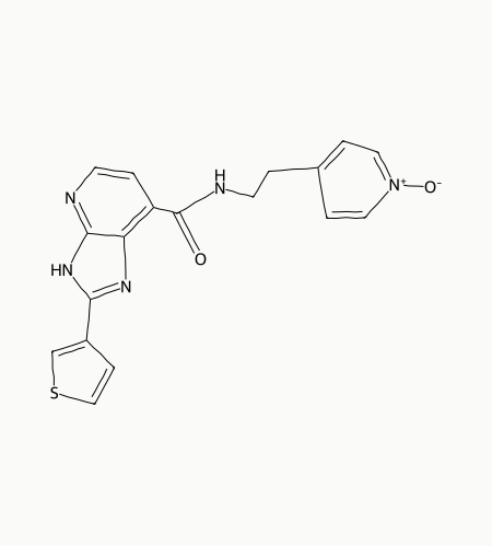 O=C(NCCc1cc[n+]([O-])cc1)c1ccnc2[nH]c(-c3ccsc3)nc12